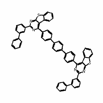 c1ccc(-c2cccc(-c3nc(-c4ccc(-c5ccc(-c6ccc(-c7nc(-c8cccc(-c9ccccc9)c8)nc8sc9ccccc9c78)cc6)cc5)cc4)c4c(n3)sc3ccccc34)c2)cc1